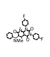 CNc1c(Cc2ccccc2)c(=O)n(C)c2c1c(=O)n(-c1ccc(F)cc1)c(=O)n2-c1ccc(F)cc1